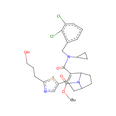 CC(C)(C)OC(=O)N1C2CCC1C(C(=O)N(Cc1cccc(Cl)c1Cl)C1CC1)=C(c1cnc(CCCO)s1)C2